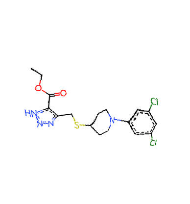 CCOC(=O)c1[nH]nnc1CSC1CCN(c2cc(Cl)cc(Cl)c2)CC1